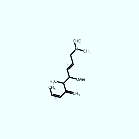 C=C(/C=C\C)C(C)C(/C=C/CN(C)C=O)OC